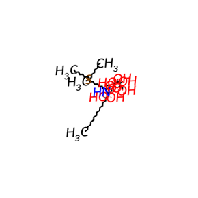 CCCCCCCCCCCCCC[C@@H](O)[C@@H](O)[C@H](COC1OC(CO)C(O)C(O)C1O)NC1(CCCCCCCS(C)(CCCCCCC)CCCCCCC)COC1